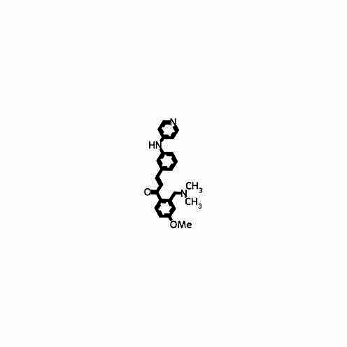 COc1ccc(C(=O)C=Cc2cccc(Nc3ccncc3)c2)c(CN(C)C)c1